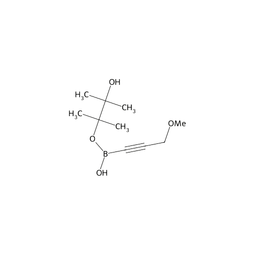 COCC#CB(O)OC(C)(C)C(C)(C)O